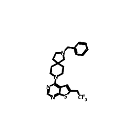 FC(F)(F)Cc1cc2c(N3CCC4(CCN(Cc5ccccc5)C4)CC3)ncnc2s1